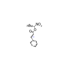 CCCCC(OC(=O)/C=C/c1ccccc1)[N+](=O)[O-]